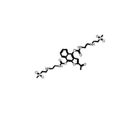 CC(=O)c1cc2c(OC(=O)NCCNCCS(C)(=O)=O)c3ccccc3c(OC(=O)NCCNCCS(C)(=O)=O)c2o1